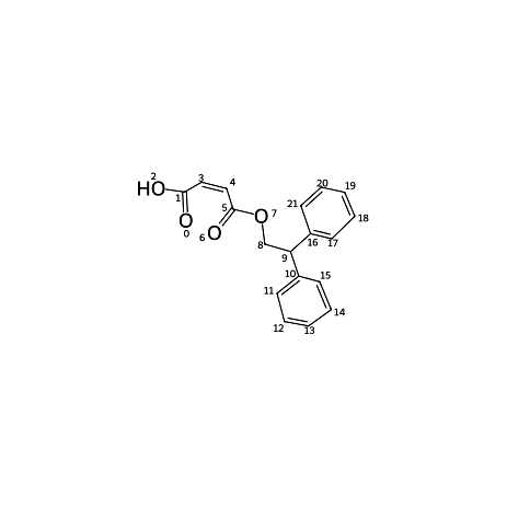 O=C(O)/C=C\C(=O)OCC(c1ccccc1)c1ccccc1